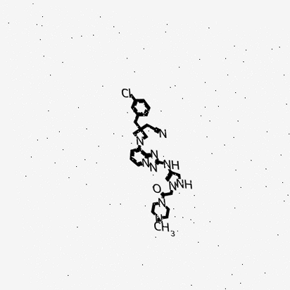 CN1CCN(C(=O)CN2C=C(Nc3nc4c(N5CC(CC#N)(Cc6cccc(Cl)c6)C5)cccn4n3)CN2)CC1